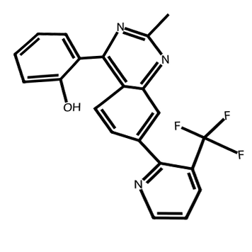 Cc1nc(-c2ccccc2O)c2ccc(-c3ncccc3C(F)(F)F)cc2n1